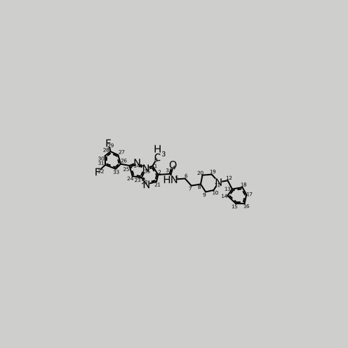 Cc1c(C(=O)NCCC2CCN(Cc3ccccc3)CC2)cnc2cc(-c3cc(F)cc(F)c3)nn12